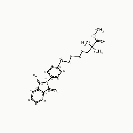 COC(=O)C(C)(C)CCCCCOc1ccc(N2C(=O)c3ccccc3C2=O)cc1